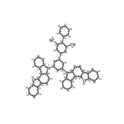 N#Cc1cc(-c2cc(-n3c4ccccc4c4c5oc6ccccc6c5ccc43)cc(-n3c4ccccc4c4c5oc6ccccc6c5ccc43)c2)cc(C#N)c1-c1ccccc1